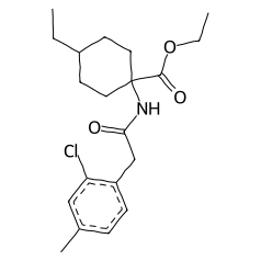 CCOC(=O)C1(NC(=O)Cc2ccc(C)cc2Cl)CCC(CC)CC1